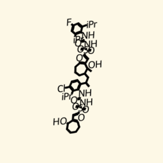 CC(C)c1cc(F)cc(C(C)C)c1NC(=O)NS(=O)(=O)c1cc2c(o1)CCCC(CC(C)c1ccc(Cl)c(C(C)C)c1NC(=O)NS(=O)(=O)c1cc3c(o1)CCCCC3O)C2(C)O